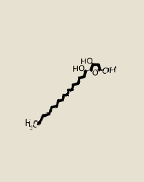 CCCCCCCCCCCCCCCCC(O)[C@H]1O[C@H](O)C[C@@H]1O